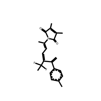 C=C(/C(=C\C=C(/C)N1C(=O)C(C)=C(C)C1=O)C(C)(F)F)c1ccc(C)cc1